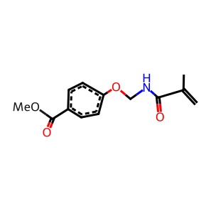 C=C(C)C(=O)NCOc1ccc(C(=O)OC)cc1